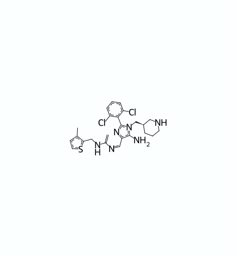 C=C(/N=C\c1nc(-c2c(Cl)cccc2Cl)n(C[C@@H]2CCCNC2)c1N)NCc1sccc1C